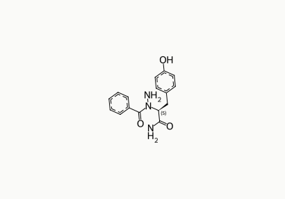 NC(=O)[C@H](Cc1ccc(O)cc1)N(N)C(=O)c1ccccc1